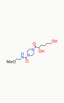 COCCNC(=O)N1CCN(C(=O)C(O)CCCCO)CC1